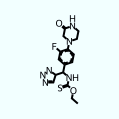 CCOC(=S)NC(c1ccc(N2CCNC(=O)C2)c(F)c1)C1C=NN=N1